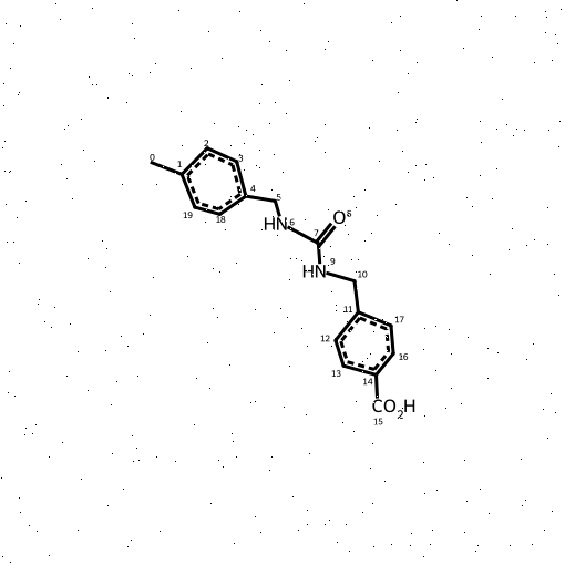 Cc1ccc(CNC(=O)NCc2ccc(C(=O)O)cc2)cc1